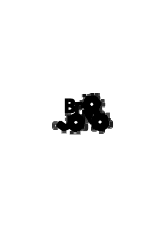 C=Cc1ccc(-n2c3ccccc3c3cccc(Br)c32)cc1